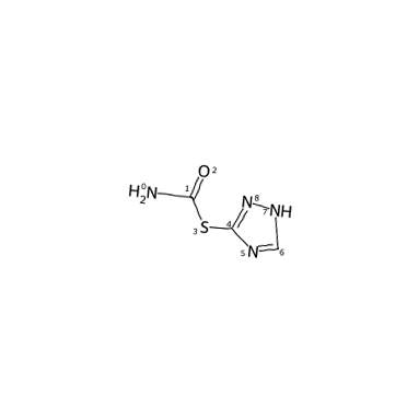 NC(=O)Sc1nc[nH]n1